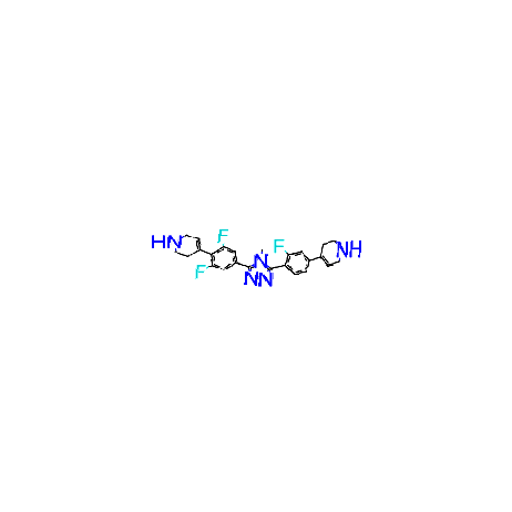 Cn1c(-c2cc(F)c(C3=CCNCC3)c(F)c2)nnc1-c1ccc(C2=CCNCC2)cc1F